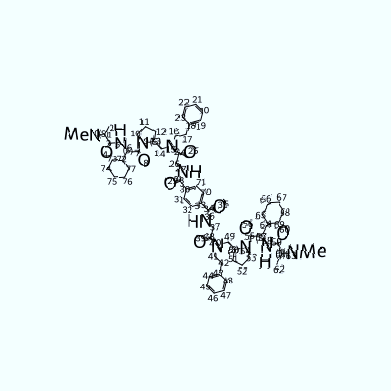 CN[C@@H](C)C(=O)N[C@H](C(=O)N1CCC[C@H]1CN(CCc1ccccc1)C(=O)CNC(=O)c1ccc(C(=O)NCC(=O)N(CCc2ccccc2)C[C@@H]2CCCN2C(=O)[C@@H](NC(=O)[C@H](C)NC)C2CCCCC2)cc1)C1CCCCC1